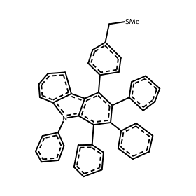 CSCc1ccc(-c2c(-c3ccccc3)c(-c3ccccc3)c(-c3ccccc3)c3c2c2ccccc2n3-c2ccccc2)cc1